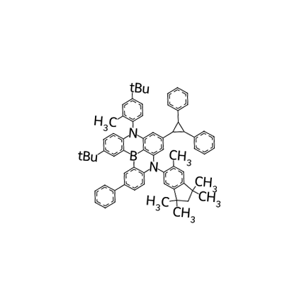 Cc1cc(C(C)(C)C)ccc1N1c2ccc(C(C)(C)C)cc2B2c3cc(-c4ccccc4)ccc3N(c3cc4c(cc3C)C(C)(C)CC4(C)C)c3cc(C4C(c5ccccc5)C4c4ccccc4)cc1c32